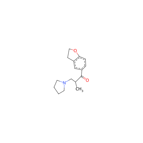 CC(CN1CCCC1)C(=O)c1ccc2c(c1)CCO2